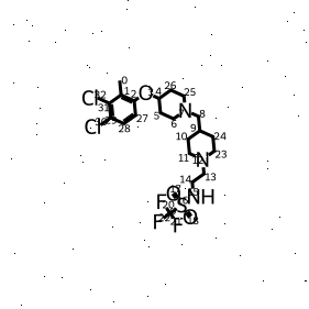 Cc1c(OC2CCN(CC3CCN(CCNS(=O)(=O)C(F)(F)F)CC3)CC2)ccc(Cl)c1Cl